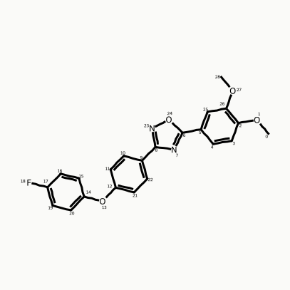 COc1ccc(-c2nc(-c3ccc(Oc4ccc(F)cc4)cc3)no2)cc1OC